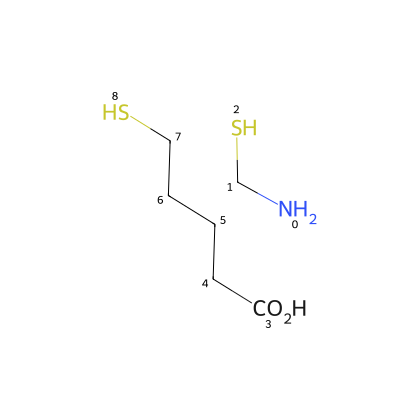 NCS.O=C(O)CCCCS